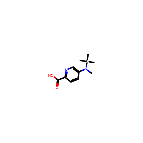 CN(c1ccc(C(=O)O)nc1)[Si](C)(C)C